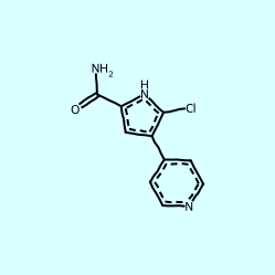 NC(=O)c1cc(-c2ccncc2)c(Cl)[nH]1